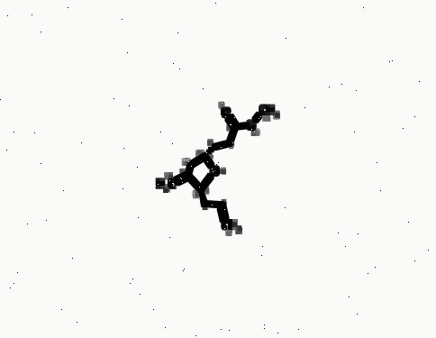 C=CC[C@@H]1O[C@@H](CCC(=O)OC)CC1=C